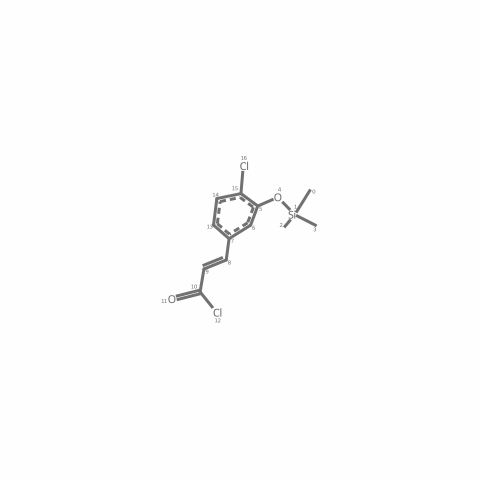 C[Si](C)(C)Oc1cc(/C=C/C(=O)Cl)ccc1Cl